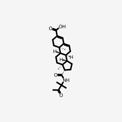 CC(=O)C(C)(C)NC(=O)[C@H]1CC[C@H]2[C@@H]3CC=C4C=C(C(=O)O)CC[C@]4(C)[C@H]3CC[C@]12C